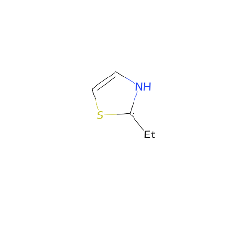 CC[C]1NC=CS1